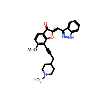 COc1ccc2c(c1C#CCC1CCN(C(=O)O)CC1)O/C(=C\c1n[nH]c3ccccc13)C2=O